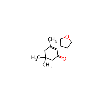 C1CCOC1.CC1=CC(=O)CC(C)(C)C1